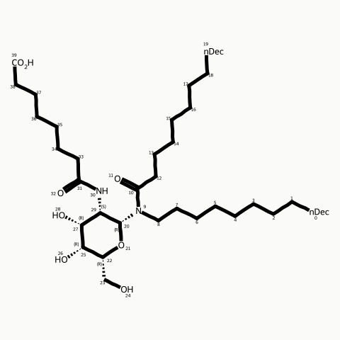 CCCCCCCCCCCCCCCCCCN(C(=O)CCCCCCCCCCCCCCCCC)[C@@H]1O[C@H](CO)[C@H](O)[C@H](O)[C@@H]1NC(=O)CCCCCCC(=O)O